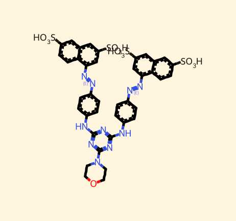 O=S(=O)(O)c1ccc2c(/N=N/c3ccc(Nc4nc(Nc5ccc(/N=N/c6cc(S(=O)(=O)O)cc7cc(S(=O)(=O)O)ccc67)cc5)nc(N5CCOCC5)n4)cc3)cc(S(=O)(=O)O)cc2c1